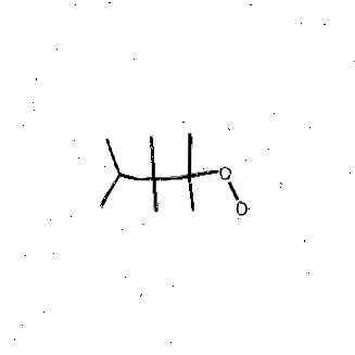 CC(C)C(C)(C)C(C)(C)O[O]